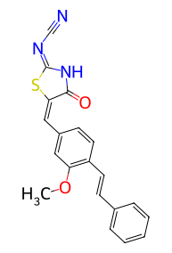 COc1cc(C=C2SC(=NC#N)NC2=O)ccc1C=Cc1ccccc1